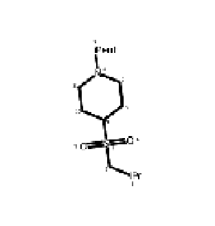 CCCC(C)N1CCC(S(=O)(=O)CC(C)C)CC1